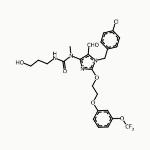 CN(C(=O)NCCCO)c1nc(OCCOc2cccc(OC(F)(F)F)c2)n(Cc2ccc(Cl)cc2)c1C=O